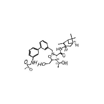 CC1C2C[C@H](C[C@@H]1NC(=O)C1[C@H]([C@H](C)O)C(CO)ON1Cc1cccc(-c3cccc(NS(C)(=O)=O)c3)c1)C2(C)C